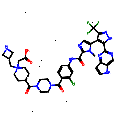 Cn1c(-c2c(C(F)(F)F)n[nH]c2-c2ncc3[nH]ccc3n2)cnc1C(=O)Nc1ccc(C(=O)N2CCN(C(=O)C3CC[N+](CC(=O)O)(CC4CNC4)CC3)CC2)c(Cl)c1